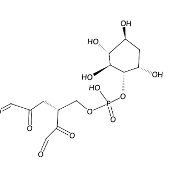 O=CC(=O)C[C@H](COP(=O)(O)O[C@@H]1[C@@H](O)[C@H](O)[C@@H](O)C[C@@H]1O)C(=O)C=O